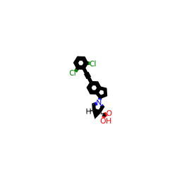 O=C(O)[C@]12C[C@H]1CN(C1CCc3cc(C#Cc4c(Cl)cccc4Cl)ccc31)C2